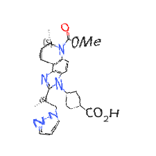 COC(=O)N1c2ccc3c(nc([C@@H](C)Cn4cccn4)n3C3CCC(C(=O)O)CC3)c2CC[C@@H]1C